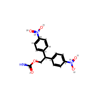 [NH]C(=O)OCC(c1ccc([N+](=O)[O-])cc1)c1ccc([N+](=O)[O-])cc1